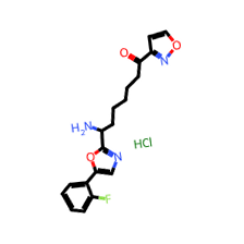 Cl.NC(CCCCCC(=O)c1ccon1)c1ncc(-c2ccccc2F)o1